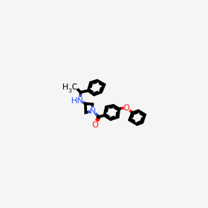 CC(NC1CN(C(=O)c2ccc(Oc3ccccc3)cc2)C1)c1ccccc1